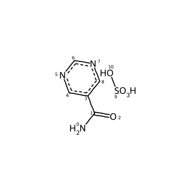 NC(=O)c1cncnc1.O=S(=O)(O)O